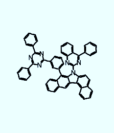 c1ccc(-c2nc(-c3ccccc3)nc(-c3cccc(-c4c5ccccc5cc5c6c7ccccc7ccc6n(-c6nc(-c7ccccc7)c7ccccc7n6)c45)c3)n2)cc1